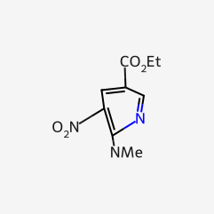 CCOC(=O)c1cnc(NC)c([N+](=O)[O-])c1